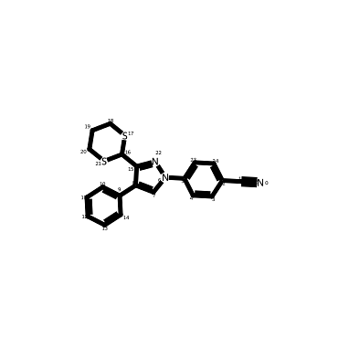 N#Cc1ccc(-n2cc(-c3ccccc3)c(C3SCCCS3)n2)cc1